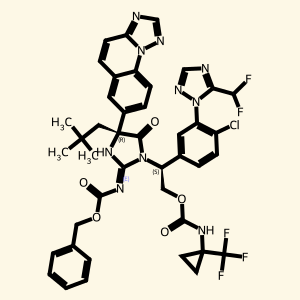 CC(C)(C)C[C@]1(c2ccc3c(ccc4ncnn43)c2)N/C(=N\C(=O)OCc2ccccc2)N([C@H](COC(=O)NC2(C(F)(F)F)CC2)c2ccc(Cl)c(-n3ncnc3C(F)F)c2)C1=O